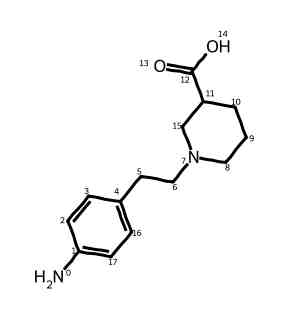 Nc1ccc(CCN2CCCC(C(=O)O)C2)cc1